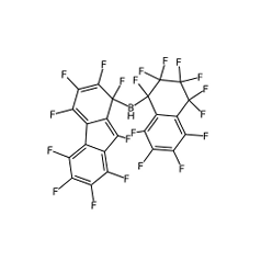 FC1=C2C(=C(F)c3c(F)c(F)c(F)c(F)c32)C(F)(BC2(F)c3c(F)c(F)c(F)c(F)c3C(F)(F)C(F)(F)C2(F)F)C(F)=C1F